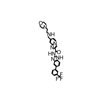 O=C(Nc1nc2cc(-c3cccc(C(F)(F)F)c3)ccc2[nH]1)c1cn2ccc(CNCCN3CCOCC3)cc2n1